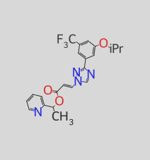 CC(C)Oc1cc(-c2ncn(C=CC(=O)OC(C)c3ccccn3)n2)cc(C(F)(F)F)c1